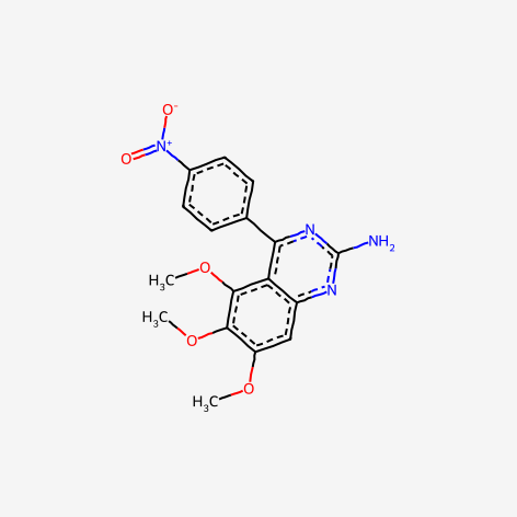 COc1cc2nc(N)nc(-c3ccc([N+](=O)[O-])cc3)c2c(OC)c1OC